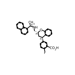 C[C@@H](NC[C@H]1C[C@H](c2ccc(F)c(C(=O)O)c2)c2ccccc2O1)c1cccc2ccccc12